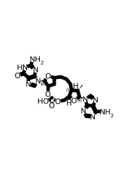 C[C@H]1[C@@H]2CCCC3CC(OP(=O)(O)OC[C@H]2O[C@H]1n1cnc2c(N)ncnc21)[C@H](n1cnc2c(=O)[nH]c(N)nc21)O3